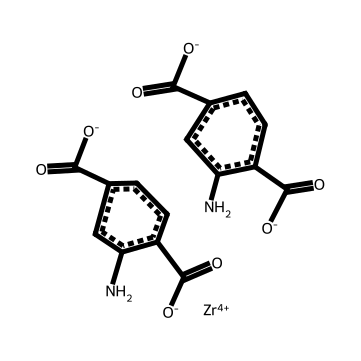 Nc1cc(C(=O)[O-])ccc1C(=O)[O-].Nc1cc(C(=O)[O-])ccc1C(=O)[O-].[Zr+4]